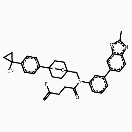 C=C(F)CCC(=O)N(CC12CCC(c3ccc(C4(C#N)CC4)cc3)(CC1)OC2)c1cccc(-c2ccc3nc(C)oc3c2)c1